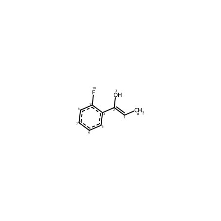 CC=C(O)c1ccccc1F